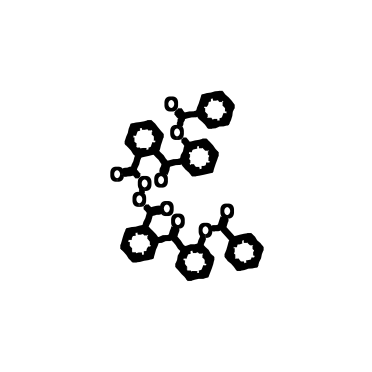 O=C(Oc1ccccc1C(=O)c1ccccc1C(=O)OOC(=O)c1ccccc1C(=O)c1ccccc1OC(=O)c1ccccc1)c1ccccc1